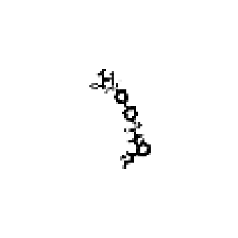 Cc1cc(-c2cccc3oc(C(=O)Nc4ccc(-c5ccc(S(=O)(=O)NC(C(=O)O)C(C)C)cc5)cc4)c(C)c23)on1